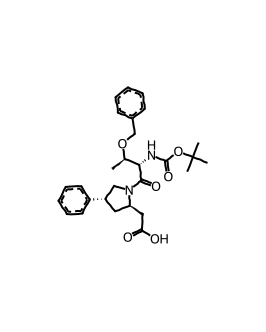 C[C@@H](OCc1ccccc1)[C@H](NC(=O)OC(C)(C)C)C(=O)N1C[C@@H](c2ccccc2)C[C@@H]1CC(=O)O